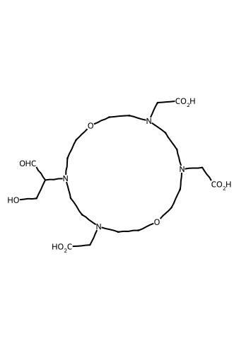 O=CC(CO)N1CCOCCN(CC(=O)O)CCN(CC(=O)O)CCOCCN(CC(=O)O)CC1